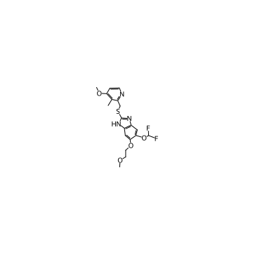 COCCOc1cc2[nH]c(SCc3nccc(OC)c3C)nc2cc1OC(F)F